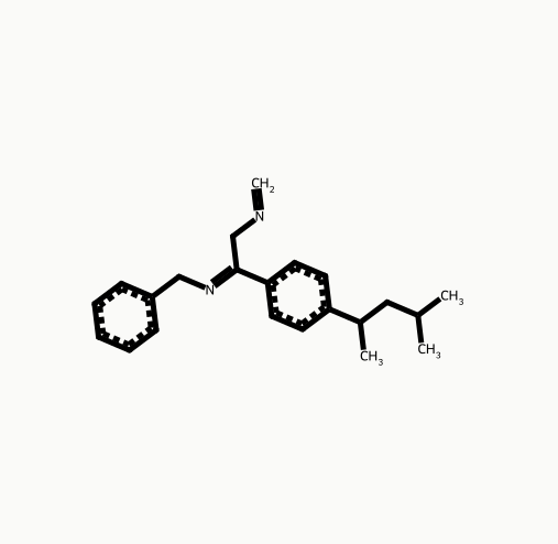 C=NC/C(=N\Cc1ccccc1)c1ccc(C(C)CC(C)C)cc1